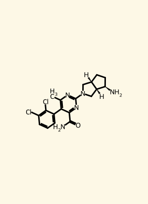 Cc1nc(N2C[C@@H]3CC[C@@H](N)[C@@H]3C2)nc(C(N)=O)c1-c1cccc(Cl)c1Cl